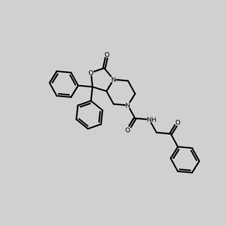 O=C(CNC(=O)N1CCN2C(=O)OC(c3ccccc3)(c3ccccc3)C2C1)c1ccccc1